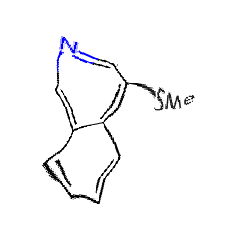 CSc1[c]ncc2ccccc12